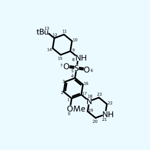 COc1ccc(S(=O)(=O)NC2CCC(C(C)(C)C)CC2)cc1N1CCNCC1